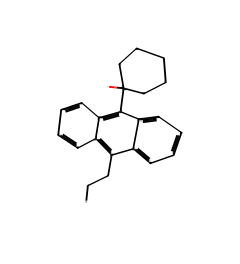 CCCc1c2ccccc2c(C2(O)CCCCC2)c2ccccc12